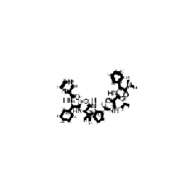 CCC[C@H](NC(=O)[C@@H]1CCC[C@@H]1NC(=O)[C@@H](NC(=O)[C@@H](NC(=O)c1cnccn1)C1CCCCC1)C(C)(C)C)C(=O)C(=O)N[C@@H](C(=O)N(C)C)c1ccccc1